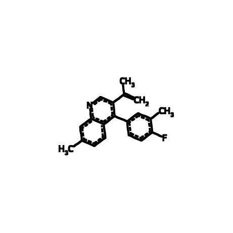 C=C(C)c1cnc2cc(C)ccc2c1-c1ccc(F)c(C)c1